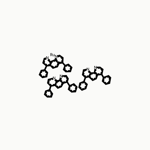 [Ru].c1ccc(-c2ccnc3c2ccc2c(-c4ccccc4)ccnc23)cc1.c1ccc(-c2ccnc3c2ccc2c(-c4ccccc4)ccnc23)cc1.c1ccc(-c2ccnc3c2ccc2c(-c4ccccc4)ccnc23)cc1